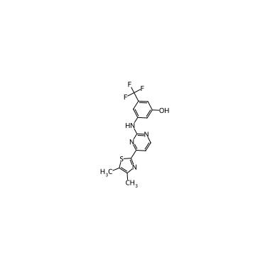 Cc1nc(-c2ccnc(Nc3cc(O)cc(C(F)(F)F)c3)n2)sc1C